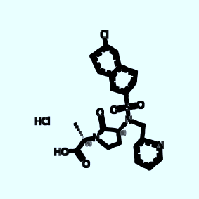 C[C@@H](C(=O)O)N1CC[C@H](N(Cc2ccccn2)S(=O)(=O)c2ccc3cc(Cl)ccc3c2)C1=O.Cl